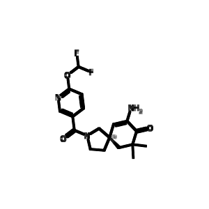 CC1(C)C[C@@]2(C=C(N)C1=O)CCN(C(=O)c1ccc(OC(F)F)nc1)C2